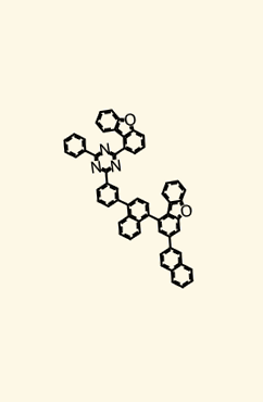 c1ccc(-c2nc(-c3cccc(-c4ccc(-c5cc(-c6ccc7ccccc7c6)cc6oc7ccccc7c56)c5ccccc45)c3)nc(-c3cccc4oc5ccccc5c34)n2)cc1